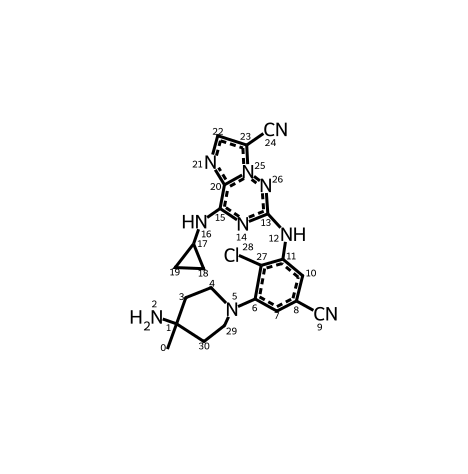 CC1(N)CCN(c2cc(C#N)cc(Nc3nc(NC4CC4)c4ncc(C#N)n4n3)c2Cl)CC1